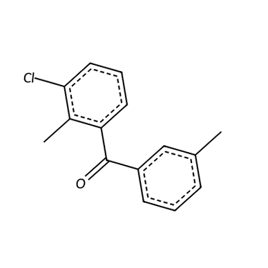 Cc1cccc(C(=O)c2cccc(Cl)c2C)c1